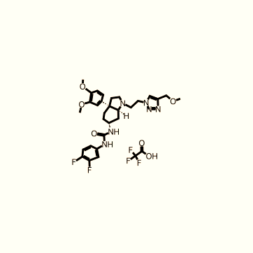 COCc1cn(CCN2CC[C@]3(c4ccc(OC)c(OC)c4)CC[C@@H](NC(=O)Nc4ccc(F)c(F)c4)C[C@H]23)nn1.O=C(O)C(F)(F)F